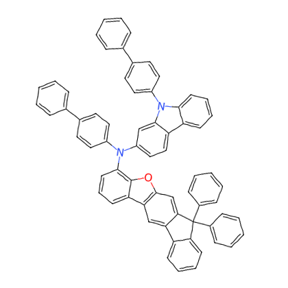 c1ccc(-c2ccc(N(c3ccc4c5ccccc5n(-c5ccc(-c6ccccc6)cc5)c4c3)c3cccc4c3oc3cc5c(cc34)-c3ccccc3C5(c3ccccc3)c3ccccc3)cc2)cc1